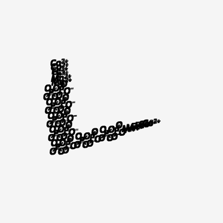 O=P([O-])([O-])OP(=O)([O-])[O-].O=P([O-])([O-])OP(=O)([O-])[O-].O=P([O-])([O-])OP(=O)([O-])[O-].O=P([O-])([O-])OP(=O)([O-])[O-].O=P([O-])([O-])OP(=O)([O-])[O-].O=P([O-])([O-])OP(=O)([O-])[O-].O=P([O-])([O-])OP(=O)([O-])[O-].[Co+2].[Co+2].[Co+2].[Co+2].[Fe+3].[Fe+3].[Fe+3].[Fe+3].[Mn+2].[Mn+2].[Mn+2].[Mn+2]